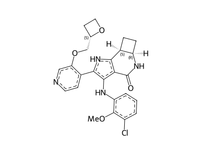 COc1c(Cl)cccc1Nc1c(-c2ccncc2OC[C@@H]2CCO2)[nH]c2c1C(=O)N[C@@H]1CC[C@H]21